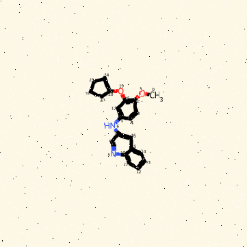 COc1ccc(Nc2cnc3ccccc3c2)cc1OC1CCCC1